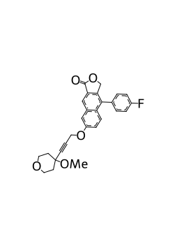 COC1(C#CCOc2ccc3c(-c4ccc(F)cc4)c4c(cc3c2)C(=O)OC4)CCOCC1